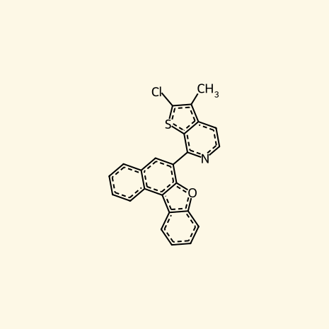 Cc1c(Cl)sc2c(-c3cc4ccccc4c4c3oc3ccccc34)nccc12